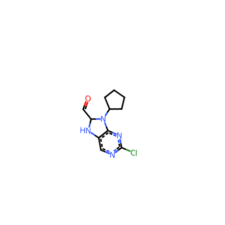 O=CC1Nc2cnc(Cl)nc2N1C1CCCC1